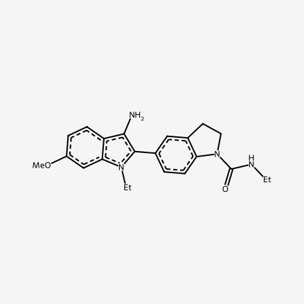 CCNC(=O)N1CCc2cc(-c3c(N)c4ccc(OC)cc4n3CC)ccc21